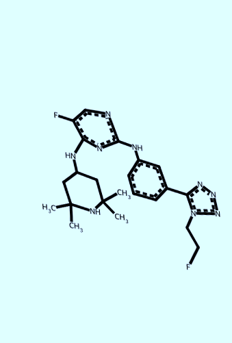 CC1(C)CC(Nc2nc(Nc3cccc(-c4nnnn4CCF)c3)ncc2F)CC(C)(C)N1